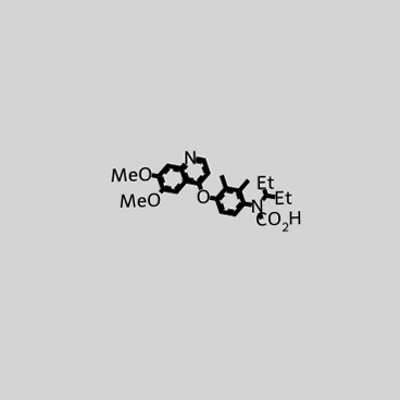 CCC(CC)N(C(=O)O)c1ccc(Oc2ccnc3cc(OC)c(OC)cc23)c(C)c1C